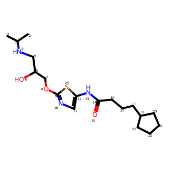 CC(C)NCC(O)COc1ncc(NC(=O)CCCC2CCCC2)s1